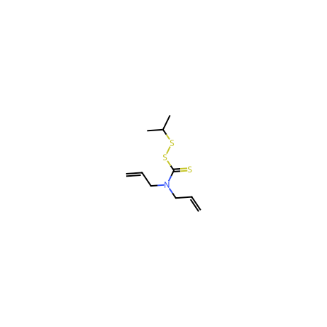 C=CCN(CC=C)C(=S)SSC(C)C